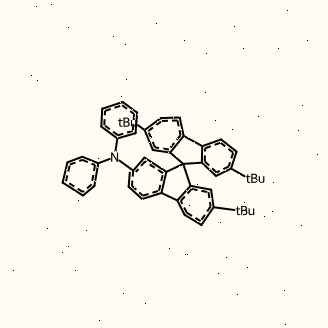 CC(C)(C)c1ccc2c(c1)C1(c3cc(N(c4ccccc4)c4ccccc4)ccc3-2)c2cc(C(C)(C)C)ccc2-c2ccc(C(C)(C)C)cc21